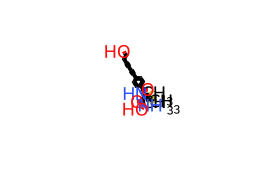 CSC(C)(C)[C@H](NC(=O)c1ccc(C#CC#CCCO)cc1)C(=O)NO